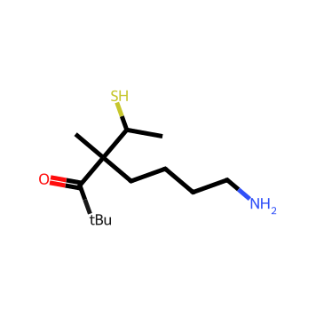 CC(S)C(C)(CCCCN)C(=O)C(C)(C)C